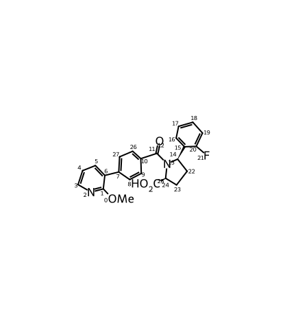 COc1ncccc1-c1ccc(C(=O)N2[C@@H](c3ccccc3F)CC[C@H]2C(=O)O)cc1